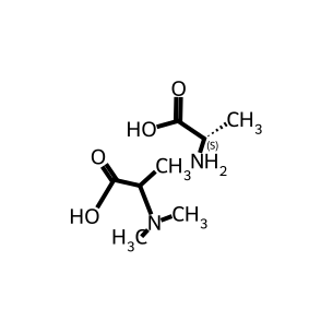 CC(C(=O)O)N(C)C.C[C@H](N)C(=O)O